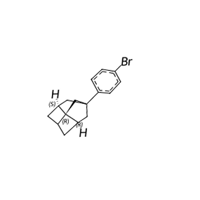 Brc1ccc(C23C[C@H]4CC5C[C@@H](C2)[C@@]54C3)cc1